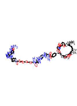 CO[C@H]1CC2CCCC(O2)C(=O)C(=O)N2CCCC[C@H]2C(=O)O[C@H](CC[C@H]2CC[C@H](OC(=O)NCc3cnc(N4CCN(c5ncc(C(=O)NCCOCCOCCOCCOCCC(=O)N6CCc7cc(Cn8nc(-c9ccc%10oc(N)nc%10c9)c9c(N)ncnc98)ccc7C6)cn5)CC4)nc3)CC2)CC[C@H](C)/C=C(\C)[C@@H](O)CC(=O)[C@H](C)C[C@H](C)/C=C/C=C/C=C/1C